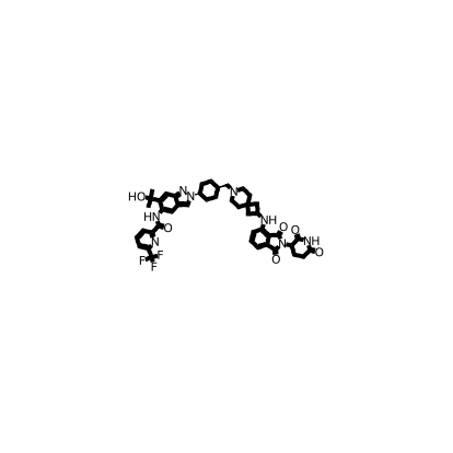 CC(C)(O)c1cc2nn([C@H]3CC[C@H](CN4CCC5(CC4)CC(Nc4cccc6c4C(=O)N(C4CCC(=O)NC4=O)C6=O)C5)CC3)cc2cc1NC(=O)c1cccc(C(F)(F)F)n1